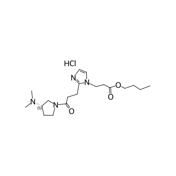 CCCCOC(=O)CCn1ccnc1CCC(=O)N1CC[C@H](N(C)C)C1.Cl